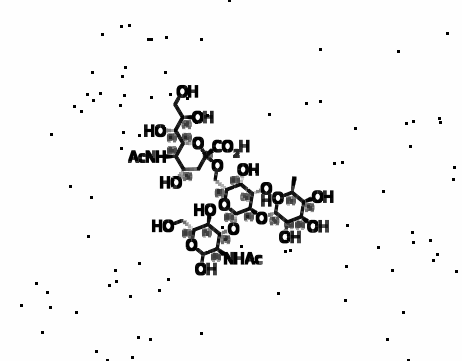 CC(=O)N[C@H]1[C@H]([C@H](O)[C@H](O)CO)O[C@@](OC[C@H]2O[C@@H](O[C@H]3[C@H](O)[C@@H](CO)OC(O)[C@@H]3NC(C)=O)[C@H](O[C@@H]3O[C@@H](C)[C@@H](O)[C@@H](O)[C@@H]3O)[C@@H](O)[C@H]2O)(C(=O)O)C[C@@H]1O